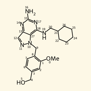 COc1cc(CO)ccc1Cn1ncc2nc(N)nc(NCC3CCCCC3)c21